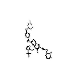 O=c1c(C#COc2ccccc2F)cc2cnc(Nc3ccc(OC4CCCNC4)cc3)nc2n1Cc1sccc1C(F)(F)F